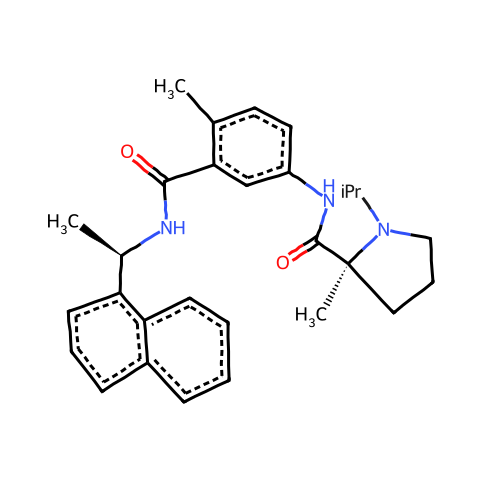 Cc1ccc(NC(=O)[C@]2(C)CCCN2C(C)C)cc1C(=O)N[C@H](C)c1cccc2ccccc12